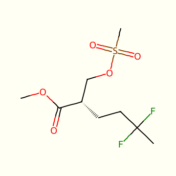 COC(=O)[C@@H](CCC(C)(F)F)COS(C)(=O)=O